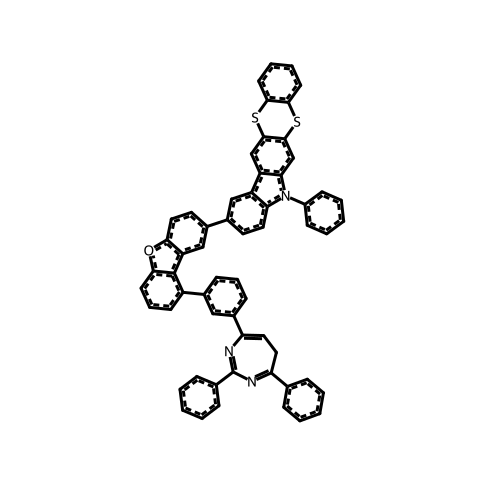 C1=C(c2cccc(-c3cccc4oc5ccc(-c6ccc7c(c6)c6cc8c(cc6n7-c6ccccc6)Sc6ccccc6S8)cc5c34)c2)N=C(c2ccccc2)N=C(c2ccccc2)C1